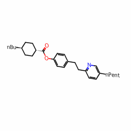 CCCCCc1ccc(CCc2ccc(OC(=O)[C@H]3CC[C@H](CCCC)CC3)cc2)nc1